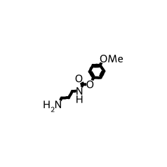 COc1ccc(OC(=O)NCCCN)cc1